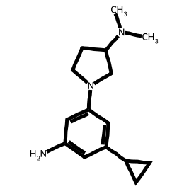 CN(C)C1CCN(c2cc(N)cc(C3CC3)c2)C1